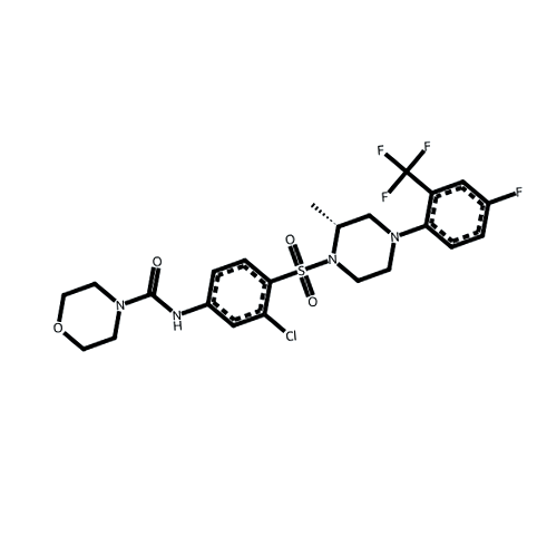 C[C@@H]1CN(c2ccc(F)cc2C(F)(F)F)CCN1S(=O)(=O)c1ccc(NC(=O)N2CCOCC2)cc1Cl